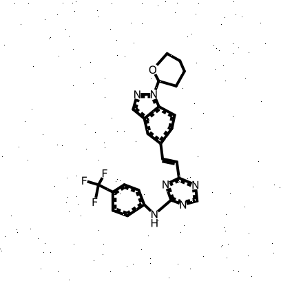 FC(F)(F)c1ccc(Nc2ncnc(/C=C/c3ccc4c(cnn4C4CCCCO4)c3)n2)cc1